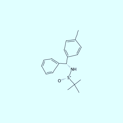 Cc1ccc([C@H](N[S@@+]([O-])C(C)(C)C)c2ccccc2)cc1